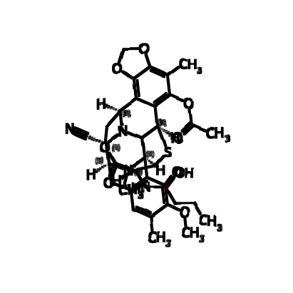 CCCC(=O)N[C@H]1CS[C@@H]2c3c(OC(C)=O)c(C)c4c(c3[C@H](COC1=O)N1C2[C@H]2c3c(cc(C)c(OC)c3O)C[C@@H]([C@@H]1C#N)N2C)OCO4